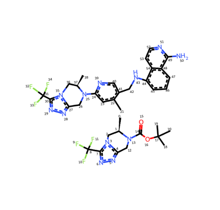 C[C@@H]1Cn2c(nnc2C(F)(F)F)CN1C(=O)OC(C)(C)C.Cc1cc(N2Cc3nnc(C(F)(F)F)n3C[C@H]2C)ncc1CNc1cccc2c(N)nccc12